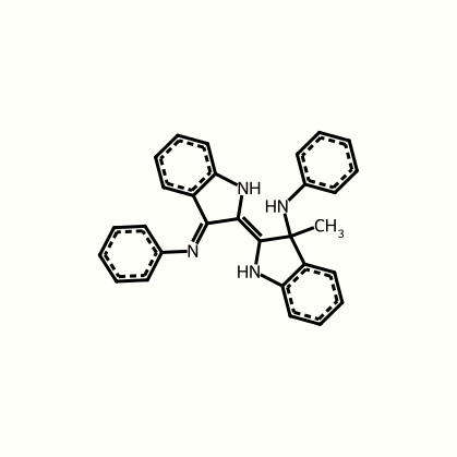 CC1(Nc2ccccc2)/C(=C2\Nc3ccccc3\C2=N/c2ccccc2)Nc2ccccc21